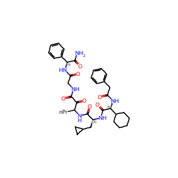 CCCC(NC(=O)[C@H](CC1CC1)NC(=O)[C@@H](NC(=O)Cc1ccccc1)C1CCCCC1)C(=O)C(=O)NCC(=O)N[C@H](C(N)=O)c1ccccc1